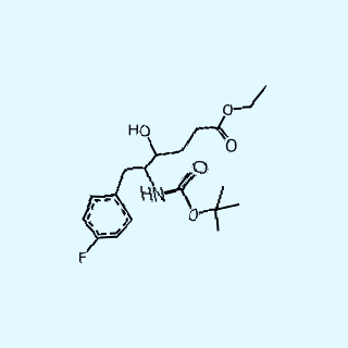 CCOC(=O)CCC(O)C(Cc1ccc(F)cc1)NC(=O)OC(C)(C)C